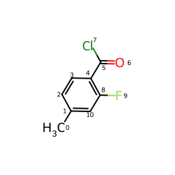 Cc1ccc(C(=O)Cl)c(F)c1